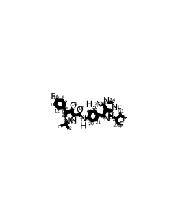 CC(C)n1cc(-c2ccc(F)cc2)c(=O)c(C(=O)Nc2ccc(-c3nn(C(CF)C(F)F)c4ncnc(N)c34)cc2)n1